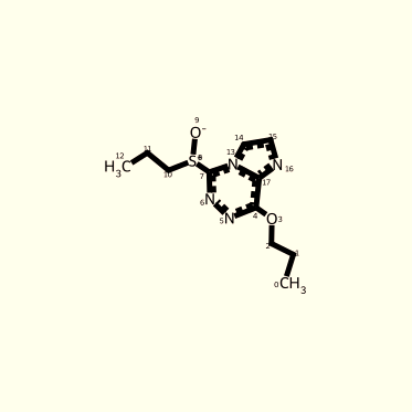 CCCOc1nnc([S+]([O-])CCC)n2ccnc12